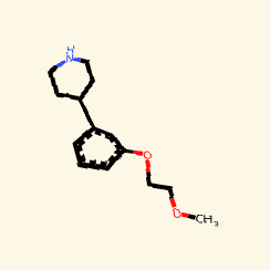 COCCOc1cccc(C2CCNCC2)c1